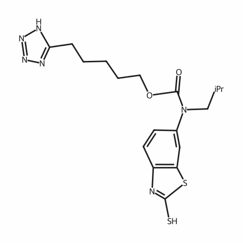 CC(C)CN(C(=O)OCCCCCc1nnn[nH]1)c1ccc2nc(S)sc2c1